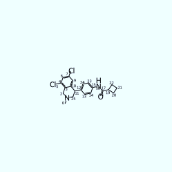 CN1Cc2c(Cl)cc(Cl)cc2C(c2ccc(NC(=O)C3CCC3)cc2)C1